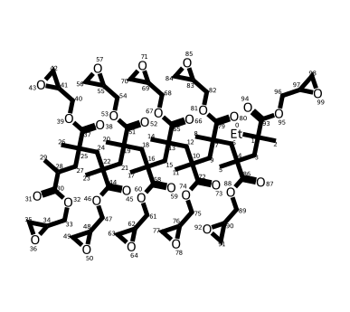 CCC(C)(CC(C)(CC(C)(CC(C)(CC(C)(CC(C)(CC(C)(CC(C)(CC(C)(CC(C)C(=O)OCC1CO1)C(=O)OCC1CO1)C(=O)OCC1CO1)C(=O)OCC1CO1)C(=O)OCC1CO1)C(=O)OCC1CO1)C(=O)OCC1CO1)C(=O)OCC1CO1)C(=O)OCC1CO1)C(=O)OCC1CO1